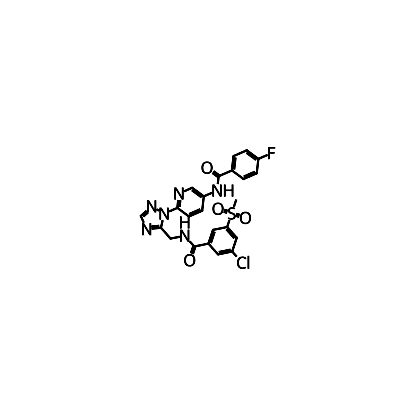 CS(=O)(=O)c1cc(Cl)cc(C(=O)NCc2ncnn2-c2ccc(NC(=O)c3ccc(F)cc3)cn2)c1